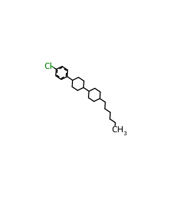 CCCCCCC1CCC(C2CCC(c3ccc(Cl)cc3)CC2)CC1